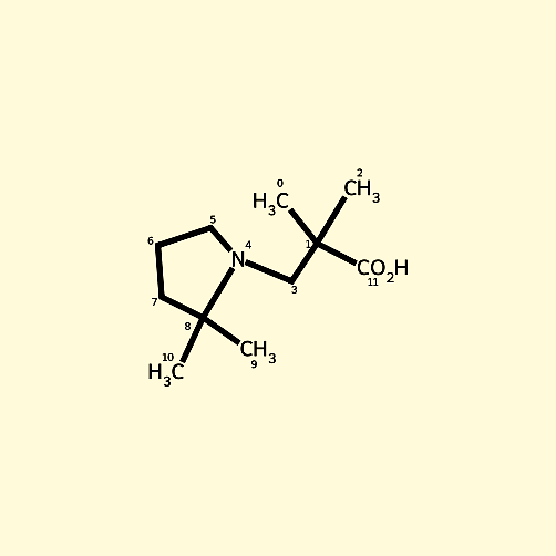 CC(C)(CN1CCCC1(C)C)C(=O)O